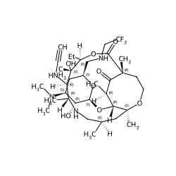 C#CN[C@@H]1[C@@H](C)NC[C@H](C)C[C@]2(C)OCC[C@@](C)(C(=O)O[C@H](CC)[C@@]1(C)O)C(=O)[C@H](C)[C@H]2O[C@@H]1O[C@H](CNCC(F)(F)F)C[C@H](N(C)C)[C@H]1O